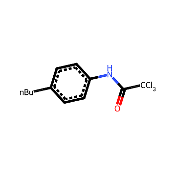 CCCCc1ccc(NC(=O)C(Cl)(Cl)Cl)cc1